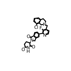 O=C1CCC(N2Cc3cc(-c4nccc(CN5CCc6cccc(Cl)c6C5)c4F)ccc3C2=O)C(=O)N1